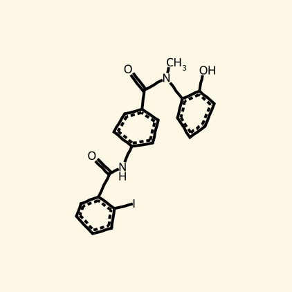 CN(C(=O)c1ccc(NC(=O)c2ccccc2I)cc1)c1ccccc1O